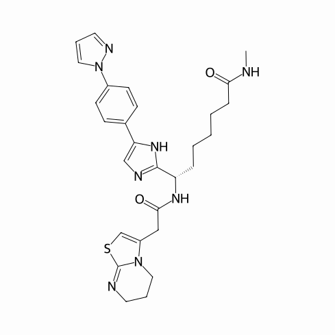 CNC(=O)CCCCC[C@H](NC(=O)CC1=CSC2=NCCCN12)c1ncc(-c2ccc(-n3cccn3)cc2)[nH]1